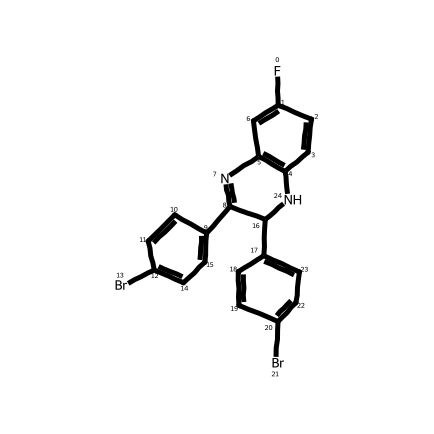 Fc1ccc2c(c1)N=C(c1ccc(Br)cc1)C(c1ccc(Br)cc1)N2